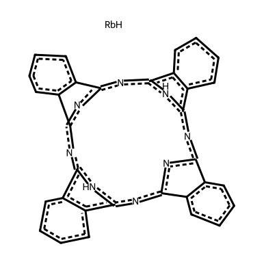 [RbH].c1ccc2c(c1)-c1nc-2nc2[nH]c(nc3nc(nc4[nH]c(n1)c1ccccc41)-c1ccccc1-3)c1ccccc21